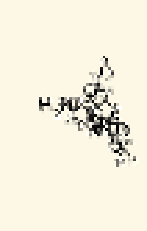 COC[C@H]1CC2CSC(NC(=O)OC(C)(C)C)=NC2(c2cc(N)ccc2F)CO1